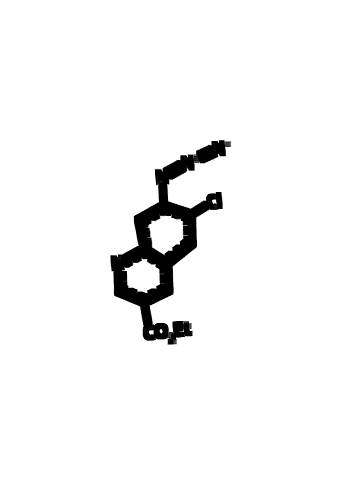 CCOC(=O)c1cnc2cc(N=[N+]=[N-])c(Cl)cc2c1